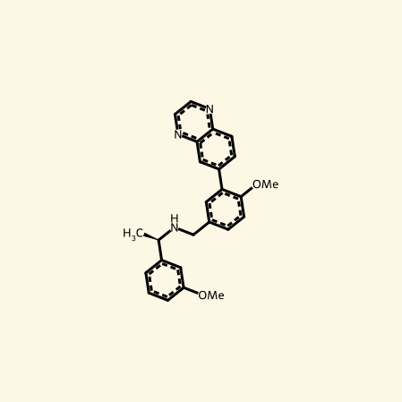 COc1cccc([C@@H](C)NCc2ccc(OC)c(-c3ccc4nccnc4c3)c2)c1